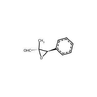 C[C@]1(C=O)O[C@@H]1c1ccccc1